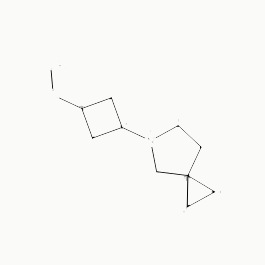 CC(C)(C)OC1CC(N2CCC3(CC3)C2)C1